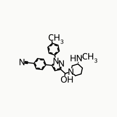 CN[C@@H]1CCCN(C(O)c2cc(-c3ccc(C#N)cc3)n(-c3ccc(C)cc3)n2)C1